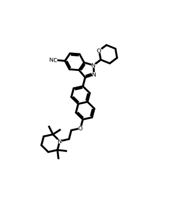 CC1(C)CCCC(C)(C)N1CCOc1ccc2cc(-c3nn(C4CCCCO4)c4ccc(C#N)cc34)ccc2c1